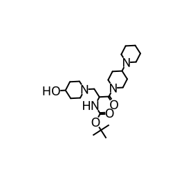 CC(C)(C)OC(=O)NC(CN1CCC(O)CC1)C(=O)N1CCC(N2CCCCC2)CC1